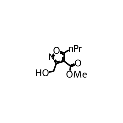 CCCc1onc(CO)c1C(=O)OC